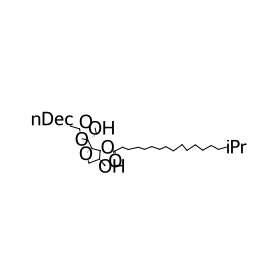 CCCCCCCCCCCC(=O)O[C@H](CO)[C@H]1OC[C@H](O)[C@H]1OC(=O)CCCCCCCCCCCCCCC(C)C